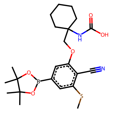 CSc1cc(B2OC(C)(C)C(C)(C)O2)cc(OCC2(NC(=O)O)CCCCC2)c1C#N